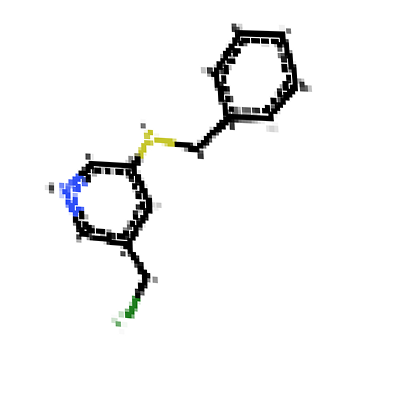 ClCc1cncc(SCc2ccccc2)c1